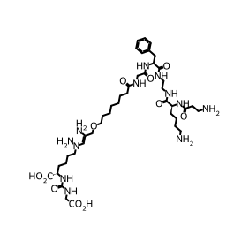 NCCCC[C@H](NC(=O)CCN)C(=O)NCCNC(=O)C(Cc1ccccc1)NC(=O)CNC(=O)CCCCCCCOC/C(N)=C/N(N)CCCC[C@H](NC(=O)NCC(=O)O)C(=O)O